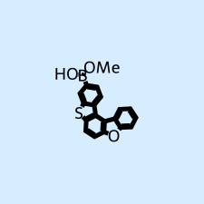 COB(O)c1ccc2c(c1)sc1ccc3oc4ccccc4c3c12